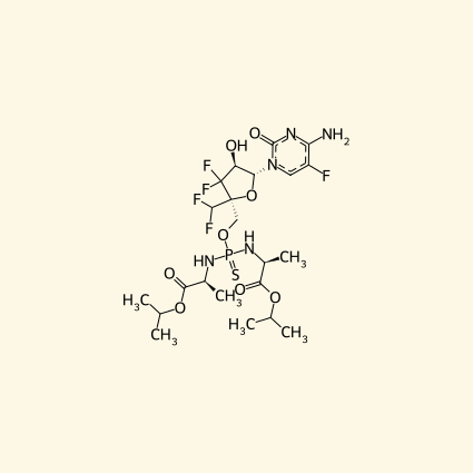 CC(C)OC(=O)[C@H](C)NP(=S)(N[C@@H](C)C(=O)OC(C)C)OC[C@@]1(C(F)F)O[C@@H](n2cc(F)c(N)nc2=O)[C@H](O)C1(F)F